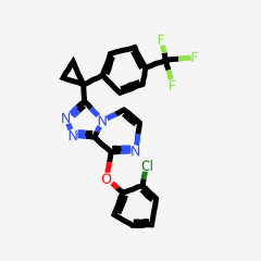 FC(F)(F)c1ccc(C2(c3nnc4c(Oc5ccccc5Cl)nccn34)CC2)cc1